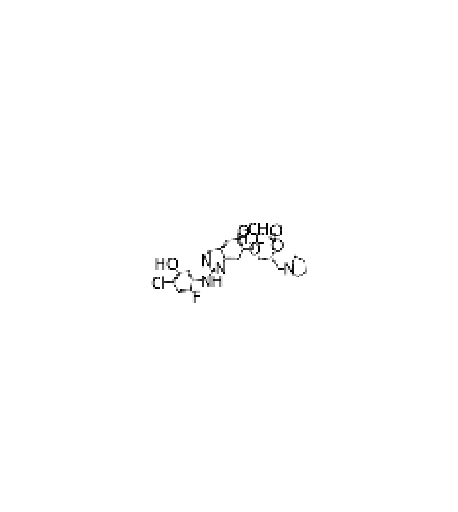 COc1cc2cnc(Nc3cc(O)c(Cl)cc3F)nc2cc1OCC(CN1CCCC1)OC(C)=O